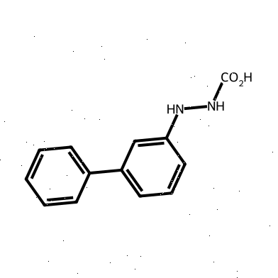 O=C(O)NNc1cccc(-c2ccccc2)c1